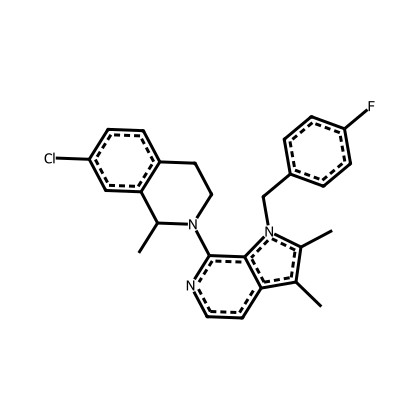 Cc1c(C)n(Cc2ccc(F)cc2)c2c(N3CCc4ccc(Cl)cc4C3C)nccc12